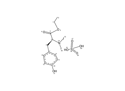 CCOC(=O)[C@H](Cc1ccc(O)cc1)N(I)I.O=S(=O)(O)O